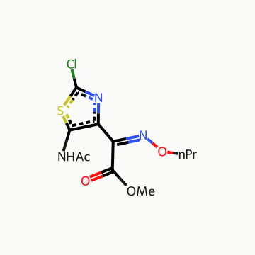 CCCON=C(C(=O)OC)c1nc(Cl)sc1NC(C)=O